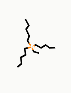 CCCCC[PH](CC)(CCCCC)CCCCC